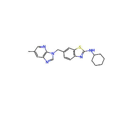 Cc1cnc2c(c1)ncn2Cc1ccc2nc(NC3CCCCC3)sc2c1